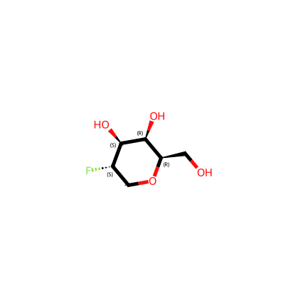 OC[C@H]1O[CH][C@H](F)[C@@H](O)[C@H]1O